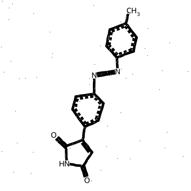 Cc1ccc(N=Nc2ccc(C3=CC(=O)NC3=O)cc2)cc1